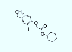 C=Cc1ccc(OCC(=O)OC2CCCCC2)c(I)c1